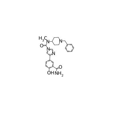 CN(C(=O)n1cnc(-c2ccc(O)c(C(N)=O)c2)c1)C1CCN(Cc2ccccc2)CC1